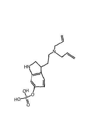 C=CCN(CC=C)CCC1CNc2cc(OP(=O)(O)O)ccc21